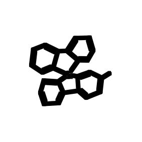 Cc1ccc2c(c1)[Si]1(c3ccccc3-c3ccccc31)c1ccccc1-2